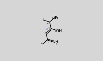 CC(=N)/C=C(\O)C(C)C(C)C